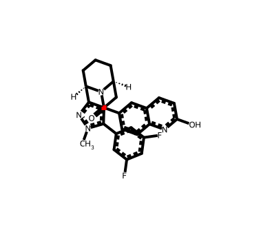 Cn1nc2c(c1-c1cc(F)cc(F)c1)C[C@@H]1CCC[C@H]2N1C(=O)c1ccc2nc(O)ccc2c1